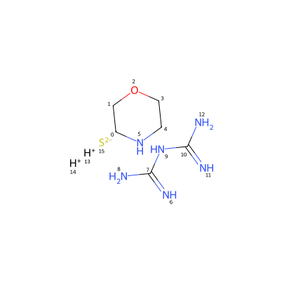 C1COCCN1.N=C(N)NC(=N)N.[H+].[H+].[S-2]